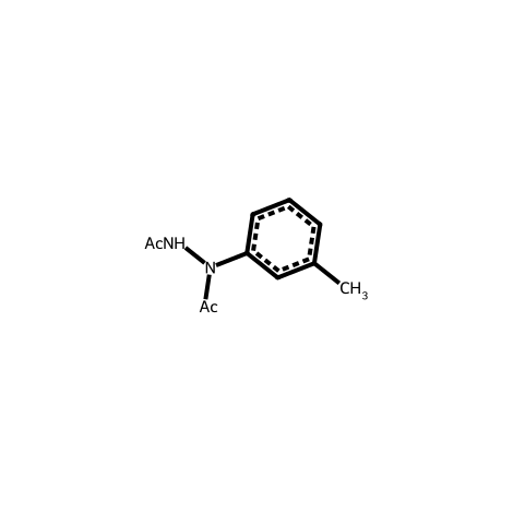 CC(=O)NN(C(C)=O)c1cccc(C)c1